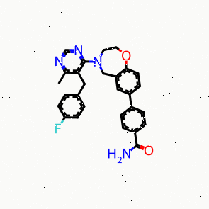 Cc1ncnc(N2CCOc3ccc(-c4ccc(C(N)=O)cc4)cc3C2)c1Cc1ccc(F)cc1